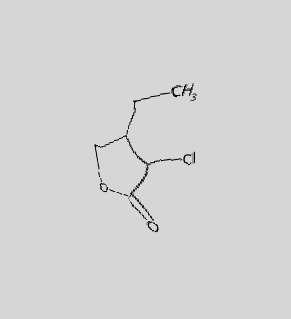 CCC1COC(=O)C1Cl